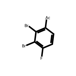 CC(=O)c1ccc(F)c(Br)c1Br